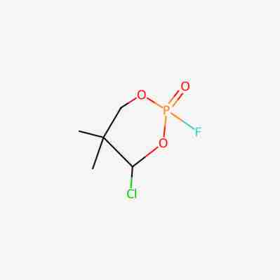 CC1(C)COP(=O)(F)OC1Cl